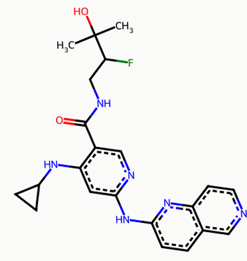 CC(C)(O)C(F)CNC(=O)c1cnc(Nc2ccc3cnccc3n2)cc1NC1CC1